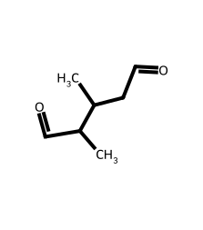 CC(C=O)C(C)CC=O